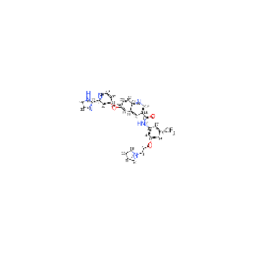 O=C(Nc1cc(OCCN2CCCC2)cc(C(F)(F)F)c1)c1cnc2ccc(Oc3ccnc(C4=NCCN4)c3)cc2c1